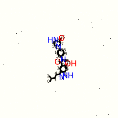 CC(C)CCc1n[nH]c2cc(O)c(C(=O)N(C)c3ccc(N4CCNC(=O)C4)cc3)cc12